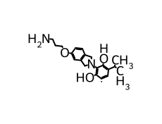 CC(C)c1c[c]c(O)c(N2Cc3ccc(OCCCN)cc3C2)c1O